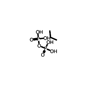 CCC.O=P(O)(O)OP(=O)(O)O